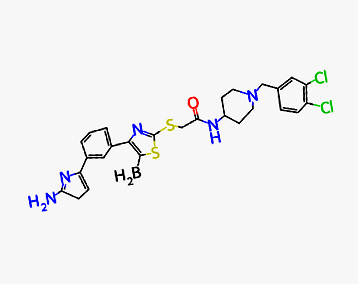 Bc1sc(SCC(=O)NC2CCN(Cc3ccc(Cl)c(Cl)c3)CC2)nc1-c1cccc(C2=CCC(N)=N2)c1